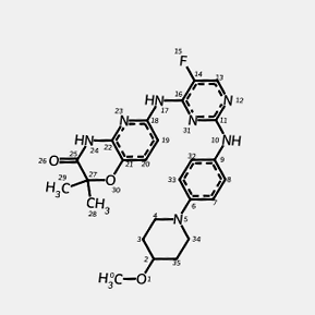 COC1CCN(c2ccc(Nc3ncc(F)c(Nc4ccc5c(n4)NC(=O)C(C)(C)O5)n3)cc2)CC1